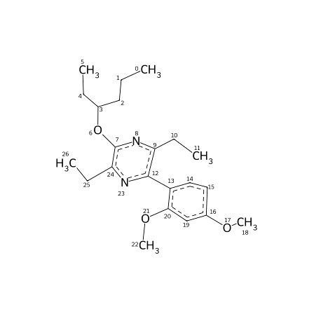 CCCC(CC)Oc1nc(CC)c(-c2ccc(OC)cc2OC)nc1CC